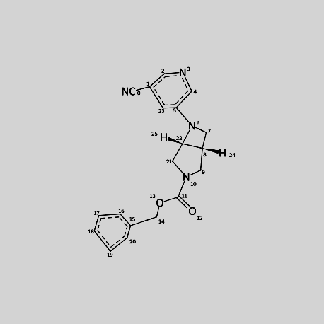 N#Cc1cncc(N2C[C@@H]3CN(C(=O)OCc4ccccc4)C[C@@H]32)c1